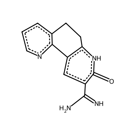 N=C(N)c1cc2c([nH]c1=O)CCc1cccnc1-2